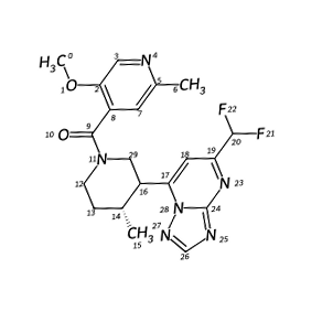 COc1cnc(C)cc1C(=O)N1CC[C@@H](C)C(c2cc(C(F)F)nc3ncnn23)C1